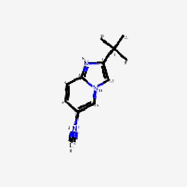 [C-]#[N+]c1ccc2nc(C(C)(C)C)cn2c1